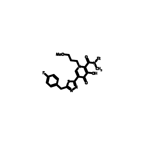 CCN(C)C(=O)c1c(O)c(=O)c(-c2nnc(Cc3ccc(F)cc3)s2)cn1CCCOC